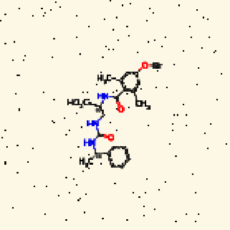 Cc1cc(OC(C)C)cc(C)c1C(=O)N[C@@H](CNC(=O)N[C@@H](C)c1ccccc1)C(=O)O